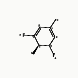 CC1=CC(F)[C@@H](C)C(F)=C1